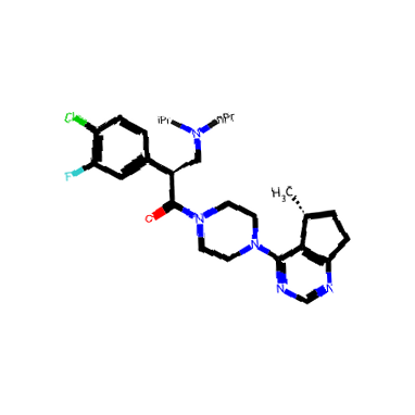 CCCN(C[C@@H](C(=O)N1CCN(c2ncnc3c2[C@H](C)CC3)CC1)c1ccc(Cl)c(F)c1)C(C)C